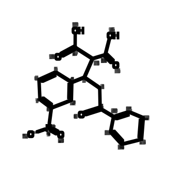 O=C(CC(c1cccc([N+](=O)[O-])c1)C(C(=O)O)C(=O)O)c1ccccc1